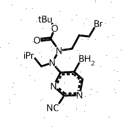 Bc1cnc(C#N)nc1N(CC(C)C)N(CCCBr)C(=O)OC(C)(C)C